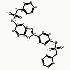 O=S(=O)(Cc1ccccc1)Nc1ccc(-c2nc3cc(NS(=O)(=O)Cc4ccccc4)ccc3o2)cc1